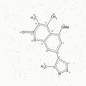 COc1cc(-c2csnc2C)cc2oc(=O)c(C)c(C)c12